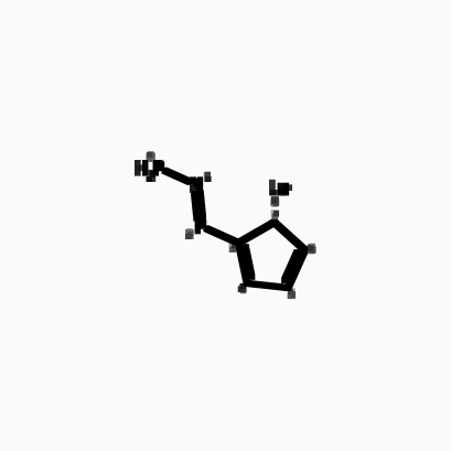 PN=PC1=CC=CC1.[Lu]